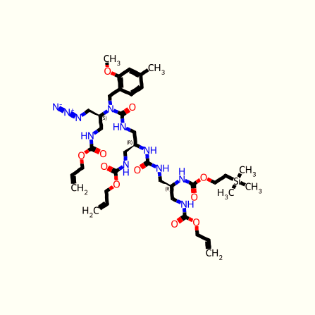 C=CCOC(=O)NC[C@@H](CNC(=O)N(Cc1ccc(C)cc1OC)[C@H](CN=[N+]=[N-])CNC(=O)OCC=C)NC(=O)NC[C@H](CNC(=O)OCC=C)NC(=O)OCC[Si](C)(C)C